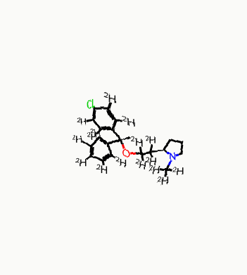 [2H]c1c([2H])c([2H])c([C@@](C)(OC([2H])([2H])C([2H])([2H])[C@H]2CCCN2C([2H])([2H])[2H])c2c([2H])c([2H])c(Cl)c([2H])c2[2H])c([2H])c1[2H]